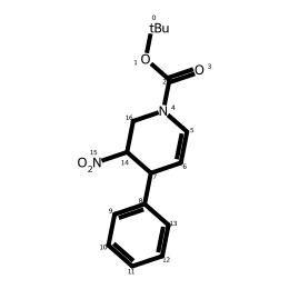 CC(C)(C)OC(=O)N1C=CC(c2ccccc2)C([N+](=O)[O-])C1